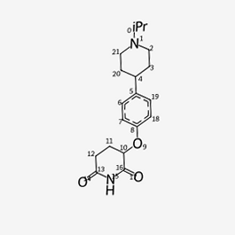 CC(C)N1CCC(c2ccc(OC3CCC(=O)NC3=O)cc2)CC1